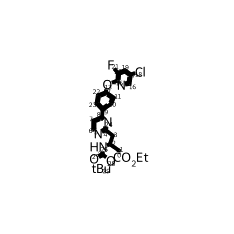 CCOC(=O)CC(Cc1nccc(-c2ccc(Oc3ncc(Cl)cc3F)cc2)n1)NC(=O)OC(C)(C)C